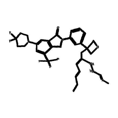 CCCCCC(CC1(c2cccc(N3Cc4c(cc(N5CCC(F)(F)CC5)cc4C(F)(F)F)C3=O)c2)COC1)NN/C=N/C